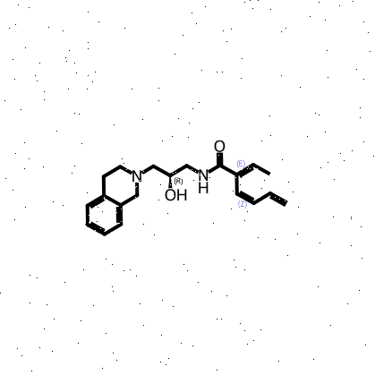 C=C/C=C\C(=C/C)C(=O)NC[C@@H](O)CN1CCc2ccccc2C1